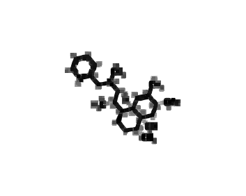 CC(=O)O[C@@H]1[C][C@@]2(O)[C@H](C)CC[C@@H]([C@H](C)CN(C)Cc3ccccn3)[C@H]2C=C1C